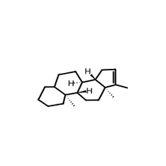 CC1=CC[C@H]2[C@@H]3CCC4CCCC[C@]4(C)[C@H]3CC[C@]12C